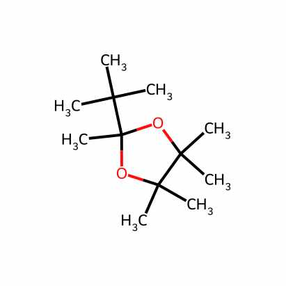 CC(C)(C)C1(C)OC(C)(C)C(C)(C)O1